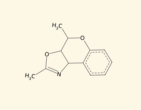 CC1=NC2c3ccccc3OC(C)C2O1